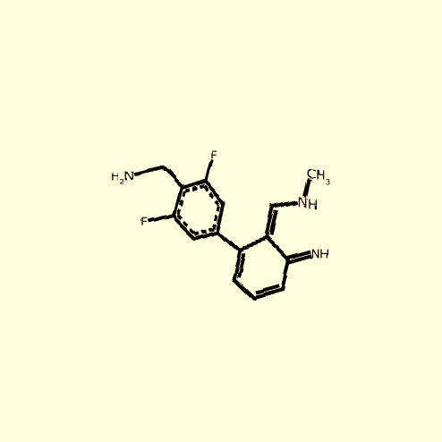 CN/C=C1\C(=N)C=CC=C1c1cc(F)c(CN)c(F)c1